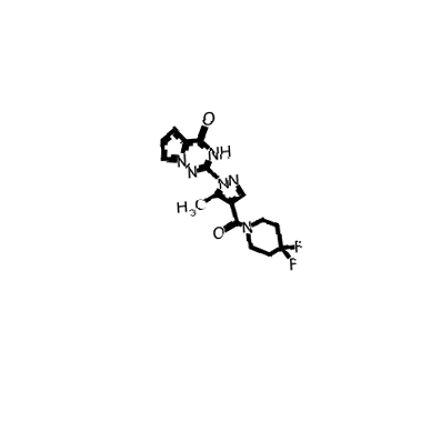 Cc1c(C(=O)N2CCC(F)(F)CC2)cnn1-c1nn2cccc2c(=O)[nH]1